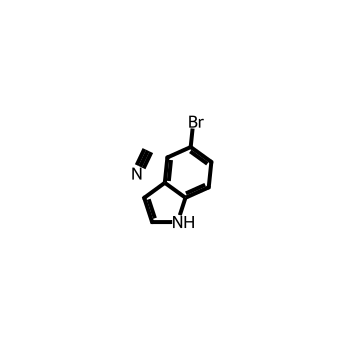 Brc1ccc2[nH]ccc2c1.C#N